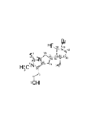 Cn1c(CCO)c2n(c1=S)C[C@H](c1c(F)ccc(Br)c1F)C2